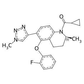 C[C@H]1CCc2c(ccc(-c3cn(C)nn3)c2Oc2ccccc2F)N1C(=O)C1CC1